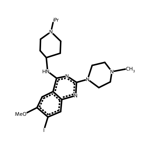 COc1cc2c(NC3CCN(C(C)C)CC3)nc(N3CCN(C)CC3)nc2cc1I